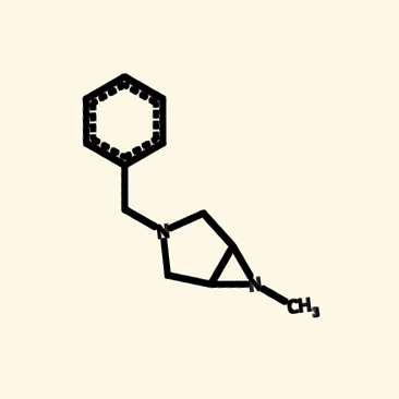 CN1C2CN(Cc3ccccc3)CC21